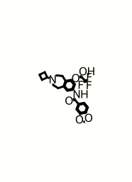 O=C(Nc1ccc2c(c1)CCN(C1CCC1)CC2)c1ccc2c(c1)OCO2.O=C(O)C(F)(F)F